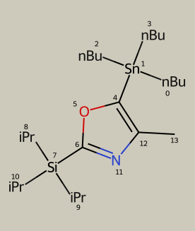 CCC[CH2][Sn]([CH2]CCC)([CH2]CCC)[c]1oc([Si](C(C)C)(C(C)C)C(C)C)nc1C